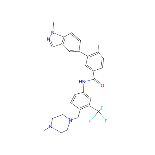 Cc1ccc(C(=O)Nc2ccc(CN3CCN(C)CC3)c(C(F)(F)F)c2)cc1-c1ccc2c(cnn2C)c1